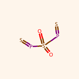 O=S(=O)(P=S)P=S